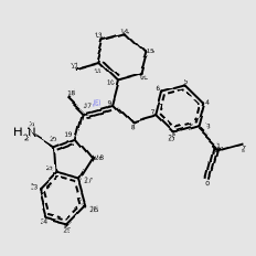 C=C(C)c1cccc(C/C(C2=C(C)CCCC2)=C(/C)C2=C(N)c3ccccc3C2)c1